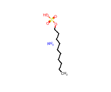 CCCCCCCCCCOS(=O)(=O)O.N